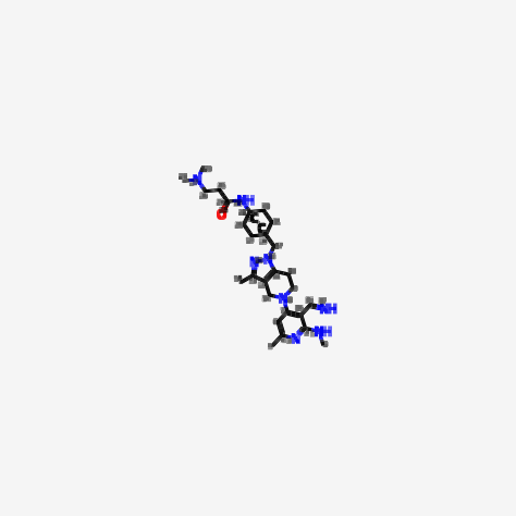 CNc1nc(C)cc(N2CCc3c(c(C)nn3CC34CCC(NC(=O)CCN(C)C)(CC3)CC4)C2)c1C=N